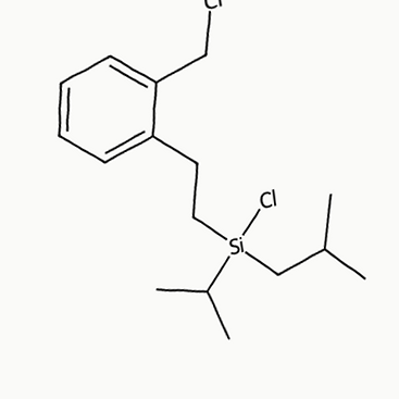 CC(C)C[Si](Cl)(CCc1ccccc1CCl)C(C)C